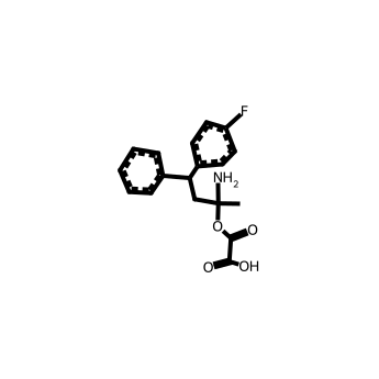 CC(N)(CC(c1ccccc1)c1ccc(F)cc1)OC(=O)C(=O)O